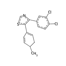 CC1C=CC(c2scnc2-c2ccc(Cl)c(Cl)c2)=CC1